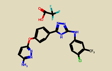 Nc1ccc(Oc2ccc(-c3nnc(Nc4ccc(Cl)c(C(F)(F)F)c4)[nH]3)cc2)nn1.O=C(O)C(F)(F)F